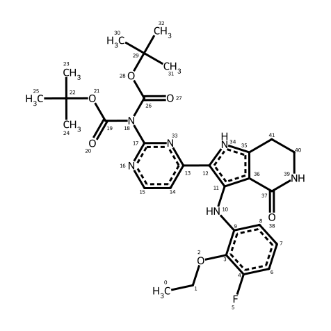 CCOc1c(F)cccc1Nc1c(-c2ccnc(N(C(=O)OC(C)(C)C)C(=O)OC(C)(C)C)n2)[nH]c2c1C(=O)NCC2